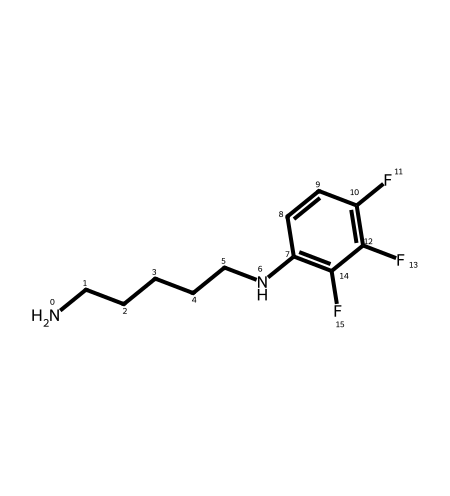 NCCCCCNc1ccc(F)c(F)c1F